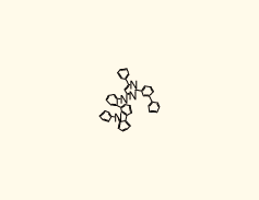 c1ccc(-c2cccc(-c3nc(-c4ccccc4)cc(-n4c5ccccc5c5c4ccc4c6ccccc6n(-c6ccccc6)c45)n3)c2)cc1